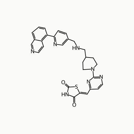 O=C1NC(=O)C(=Cc2ccnc(N3CCC(CNCc4ccc(-c5cccc6cnccc56)nc4)CC3)n2)S1